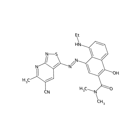 CCNc1cccc2c(O)c(C(=O)N(C)C)cc(/N=N/c3snc4nc(C)c(C#N)cc34)c12